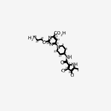 Cc1[nH]c(C(=O)NC2CCN(c3cc(C(=O)O)nc(OCCN)n3)CC2)c(Cl)c1Cl